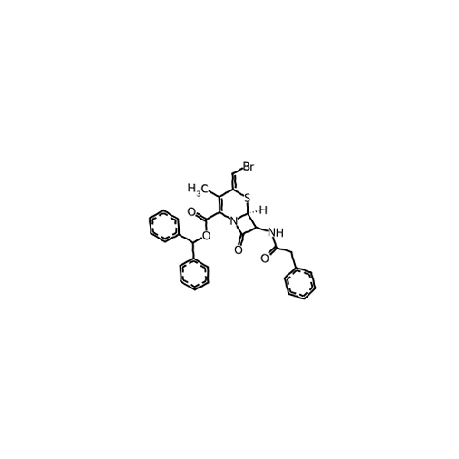 CC1=C(C(=O)OC(c2ccccc2)c2ccccc2)N2C(=O)C(NC(=O)Cc3ccccc3)[C@@H]2SC1=CBr